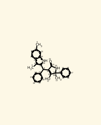 Cc1ccc2c(C)c(C(C3=C(O)[C@@](C)(c4ccccc4)NC3=O)c3ccccc3)[nH]c2c1